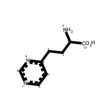 NC(CCc1ccncn1)C(=O)O